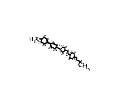 C=CCCC1CCC(OCC2CCC(C3C=CC(C4CCC(C)CC4)CC3)CC2)CC1